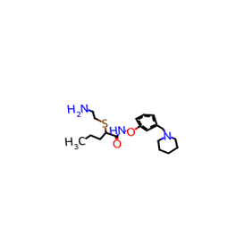 CCCC(SCCN)C(=O)NOc1cccc(CN2CCCCC2)c1